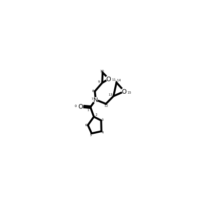 O=C(C1CCCC1)N(CC1CO1)CC1CO1